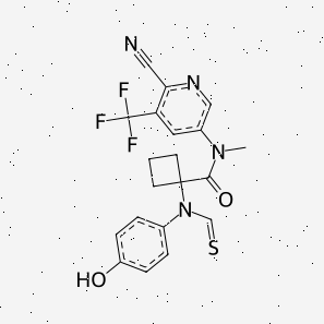 CN(C(=O)C1(N(C=S)c2ccc(O)cc2)CCC1)c1cnc(C#N)c(C(F)(F)F)c1